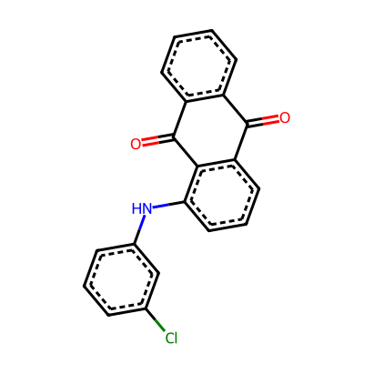 O=C1c2ccccc2C(=O)c2c(Nc3cccc(Cl)c3)cccc21